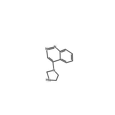 c1ccc2c(N3CCNC3)cnnc2c1